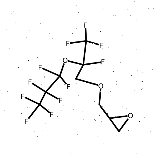 FC(F)(F)C(F)(COCC1CO1)OC(F)(F)C(F)(F)C(F)(F)F